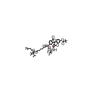 CC(C)N(C(C)C)P(OCCC#N)OCCCCCCNC(=O)c1ccc2c(c1)C1(OC2=O)c2ccc(NC(=O)C(F)(F)F)cc2Oc2cc(OC(=O)C(C)(C)C)ccc21